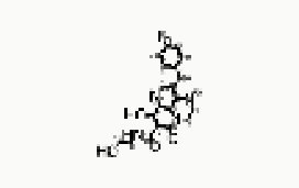 CN1CCn2c(=O)c(C(=O)NCCO)c(O)c3ncc(Cc4ccc(F)cc4)c1c32